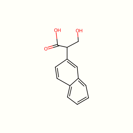 O=C(O)C(CO)c1ccc2ccccc2c1